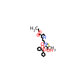 C=CCOC(=O)c1ccnc(/C=C/C(=O)N2CS[C@@](C)(CO)[C@@H]2C(=O)OC(c2ccccc2)c2ccccc2)c1